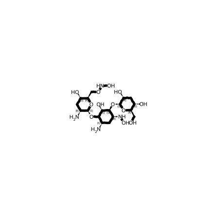 N[C@@H]1C[C@H](O)[C@@H](CONO)O[C@@H]1OC1[C@@H](N)C[C@@H](NO)[C@H](O[C@H]2O[C@H](CO)[C@@H](O)C[C@H]2O)[C@H]1O